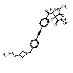 CCOC1CN(Cc2ccc(C#Cc3ccc(C(=O)N(C)C(C)(C(=O)NC)C(=O)NO)cc3)cc2)C1